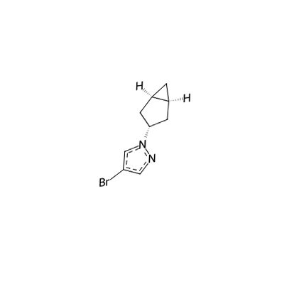 Brc1cnn([C@@H]2C[C@H]3C[C@H]3C2)c1